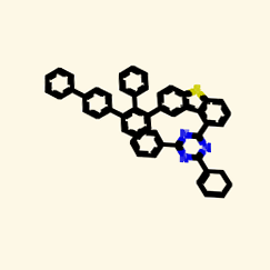 C1=CCCC(c2nc(-c3ccccc3)nc(-c3cccc4sc5ccc(-c6cccc(-c7ccc(-c8ccccc8)cc7)c6-c6ccccc6)cc5c34)n2)=C1